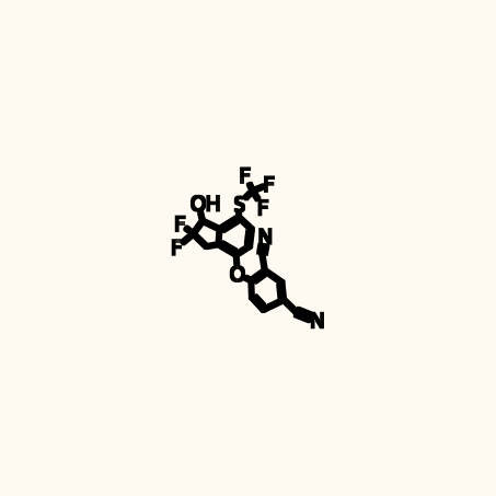 N#Cc1ccc(Oc2ccc(SC(F)(F)F)c3c2CC(F)(F)C3O)c(C#N)c1